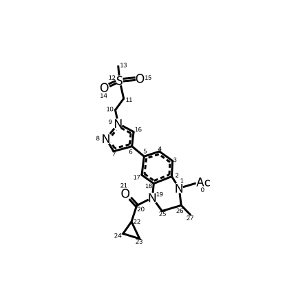 CC(=O)N1c2ccc(-c3cnn(CCS(C)(=O)=O)c3)cc2N(C(=O)C2CC2)CC1C